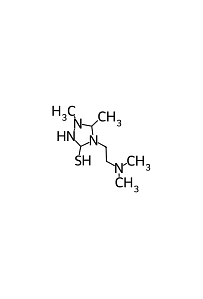 CC1N(C)NC(S)N1CCN(C)C